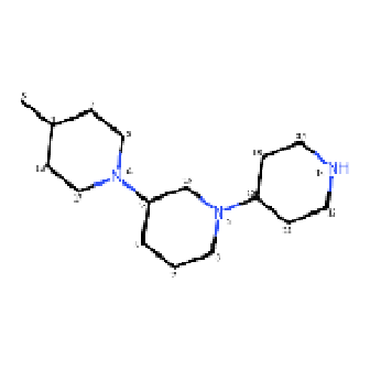 CC1CCN(C2CCCN(C3CCNCC3)C2)CC1